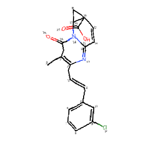 Cc1c(/C=C/c2cccc(Cl)c2)nc2n(c1=O)C1CC1(C(=O)O)C=C2